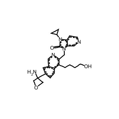 NC1(c2ccc3c(CCCCO)c(Cn4c(=O)n(C5CC5)c5ccncc54)ncc3c2)COC1